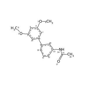 COc1cc(OC)cc(-c2[c]ccc(NC(C)=O)c2)c1